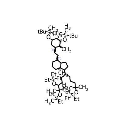 C=C1/C(=C\C=C2/CCC[C@@]3(C)C2CCC3[C@@H](CCCC(C)(C)O[Si](CC)(CC)CC)CCC(O[Si](CC)(CC)CC)C(C)(C)O[Si](C)(CC)CC)CC(O[Si](C)(C)C(C)(C)C)C[C@@H]1O[Si](C)(C)C(C)(C)C